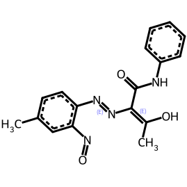 C/C(O)=C(\N=N\c1ccc(C)cc1N=O)C(=O)Nc1ccccc1